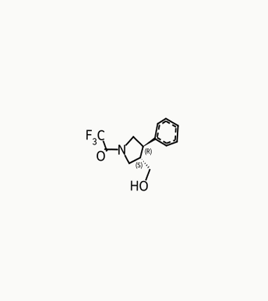 O=C(N1C[C@@H](CO)[C@H](c2ccccc2)C1)C(F)(F)F